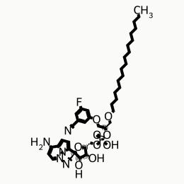 CCCCCCCCCCCCCCCCCCOC[C@H](COc1cc(F)cc(C#N)c1)OP(=O)(O)OC[C@H]1O[C@@](C#N)(c2ccc3c(N)ccnn23)[C@H](O)[C@@H]1O